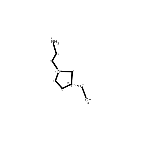 NCCN1CC[C@@H](CO)C1